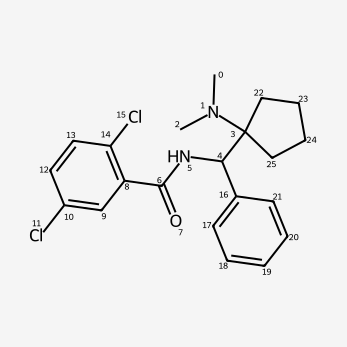 CN(C)C1(C(NC(=O)c2cc(Cl)ccc2Cl)c2ccccc2)CCCC1